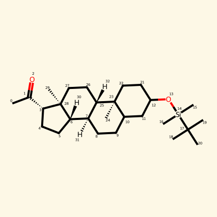 CC(=O)[C@H]1CC[C@H]2[C@@H]3CCC4CC(O[Si](C)(C)C(C)(C)C)CC[C@]4(C)[C@H]3CC[C@]12C